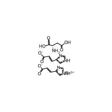 N[C@@H](CC(=O)O)C(=O)O.O=C([O-])C=Cc1c[nH]cn1.O=C([O-])C=Cc1c[nH]cn1.[Se+2]